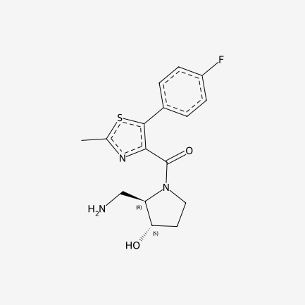 Cc1nc(C(=O)N2CC[C@H](O)[C@H]2CN)c(-c2ccc(F)cc2)s1